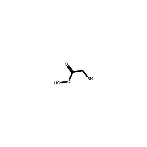 O=C(CS)OO